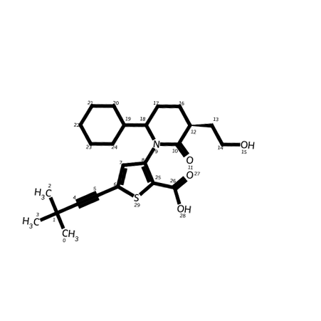 CC(C)(C)C#Cc1cc(N2C(=O)[C@H](CCO)CCC2C2CCCCC2)c(C(=O)O)s1